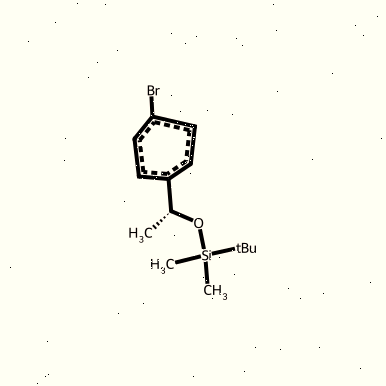 C[C@@H](O[Si](C)(C)C(C)(C)C)c1ccc(Br)cc1